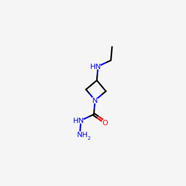 CCNC1CN(C(=O)NN)C1